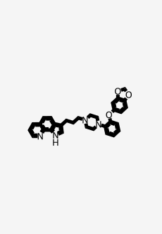 c1ccc(N2CCN(CCCc3c[nH]c4c3ccc3cccnc34)CC2)c(Oc2ccc3c(c2)OCO3)c1